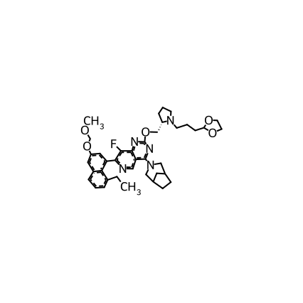 CCc1cccc2cc(OCOC)cc(-c3ncc4c(N5CC6CCC(C6)C5)nc(OC[C@@H]5CCCN5CCCC5OCCO5)nc4c3F)c12